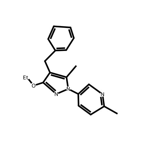 CCOc1nn(-c2ccc(C)nc2)c(C)c1Cc1ccccc1